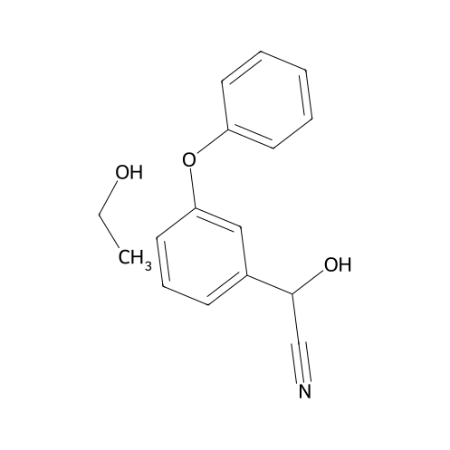 CCO.N#CC(O)c1cccc(Oc2ccccc2)c1